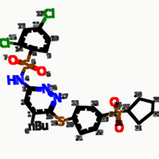 CCCCc1cc(NS(=O)(=O)c2ccc(Cl)cc2Cl)nnc1Sc1ccc(S(=O)(=O)C2CCCC2)cc1